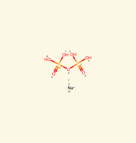 O=P(O)(O)OP(=O)(O)O.[F-].[Na+]